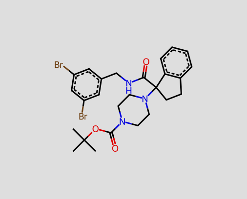 CC(C)(C)OC(=O)N1CCN(C2(C(=O)NCc3cc(Br)cc(Br)c3)CCc3ccccc32)CC1